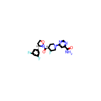 NC(=O)c1cc(N2CC[C@H](C(=O)N3OCC[C@H]3c3cc(F)cc(F)c3)[C@H](F)C2)ncn1